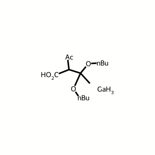 CCCCOC(C)(OCCCC)C(C(C)=O)C(=O)O.[GaH3]